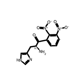 N[C@@H](Cc1c[nH]cn1)C(=O)c1cc[c]c([N+](=O)[O-])c1[N+](=O)[O-]